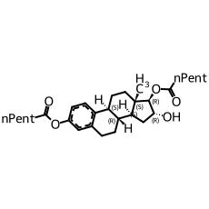 CCCCCC(=O)Oc1ccc2c(c1)CC[C@@H]1[C@@H]2CC[C@@]2(C)[C@H]1C[C@@H](O)[C@@H]2OC(=O)CCCCC